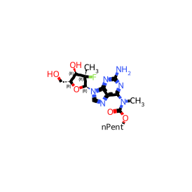 CCCCCOC(=O)N(C)c1nc(N)nc2c1ncn2[C@@H]1O[C@H](CO)[C@@H](O)[C@@]1(C)F